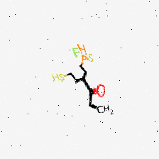 C=CC(=O)C(CCS)CC[PH](F)=S